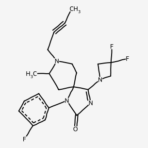 CC#CCN1CCC2(CC1C)C(N1CC(F)(F)C1)=NC(=O)N2c1cccc(F)c1